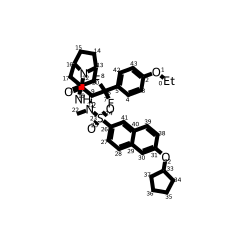 CCOc1ccc(C(F)(F)[C@@H](C(=O)N2C3CCC2CC(N)C3)N(C)S(=O)(=O)c2ccc3cc(OC4CCCC4)ccc3c2)cc1